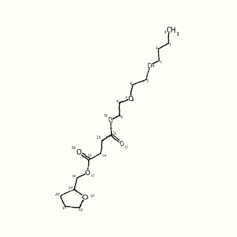 CCCCOCCOCCOC(=O)CCC(=O)OCC1CCCO1